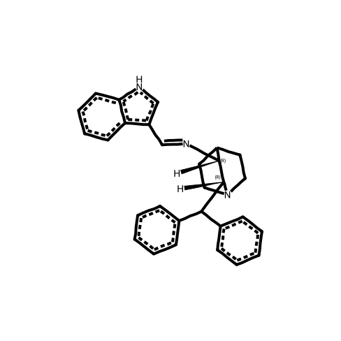 C(=N[C@@H]1C2CCN(CC2)[C@@H]1C(c1ccccc1)c1ccccc1)c1c[nH]c2ccccc12